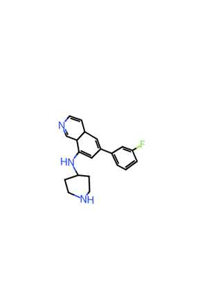 Fc1cccc(C2=CC3C=CN=CC3C(NC3CCNCC3)=C2)c1